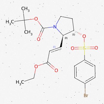 CCOC(=O)/C=C/[C@@H]1[C@@H](OS(=O)(=O)c2ccc(Br)cc2)CCN1C(=O)OC(C)(C)C